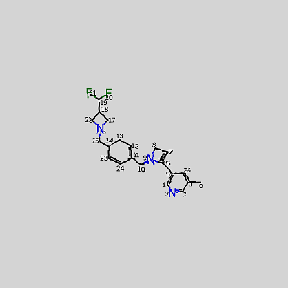 Cc1cncc(C2=CCN2CC2=CCC(CN3CC(C(F)F)C3)C=C2)c1